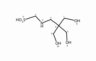 O=S(=O)(O)CNCC(CO)(CO)CO